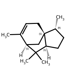 CC1=CC[C@]23C[C@H]1C(C)(C)[C@@H]2CC[C@H]3C